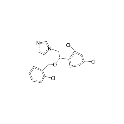 Clc1ccc(C(Cn2ccnc2)OCc2ccccc2Cl)c(Cl)c1